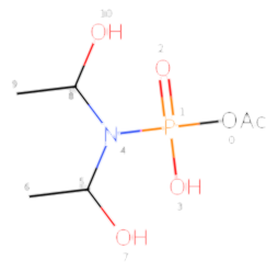 CC(=O)OP(=O)(O)N(C(C)O)C(C)O